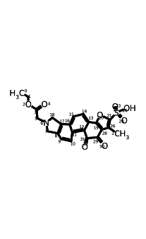 CCOC(=O)CN1Cc2ccc3c4c(ccc3c2C1)-c1oc(S(=O)(=O)O)c(C)c1C(=O)C4=O